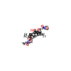 C[C@@H]1CC(CCC(=O)N2CCOCC2)OC2C1[C@@]1(C)CCC34C[C@@]35CC[C@H](OC3CN(C(=O)CC6CC6)CCO3)C(C)(C)[C@@H]5CC[C@H]4[C@]1(C)[C@H]2O